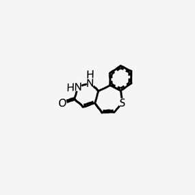 O=C1C=C2C=CSc3ccccc3C2NN1